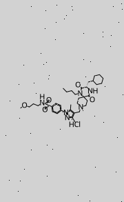 CCCCN1C(=O)[C@H](CC2CCCCC2)NC(=O)C12CCN(Cc1c(C)nn(-c3ccc(S(=O)(=O)NCCCOC)cc3)c1C)CC2.Cl